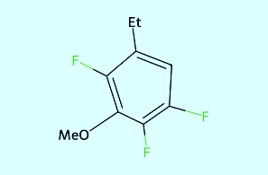 CCc1cc(F)c(F)c(OC)c1F